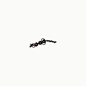 CCCCCCCCC[C@H]1CO[C@H](c2ccc(-c3ccc(OC[C@@H](C)CC)cc3)cc2)OC1